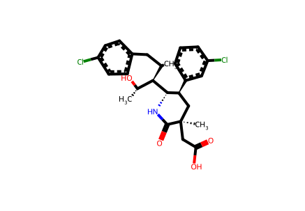 CC(Cc1ccc(Cl)cc1)[C@@H]([C@H]1NC(=O)[C@](C)(CC(=O)O)C[C@@H]1c1cccc(Cl)c1)[C@H](C)O